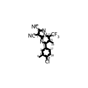 Cc1cc(-c2nc3c(C#N)c(C#N)nn3c(C(F)(F)F)c2C)ccc1Cl